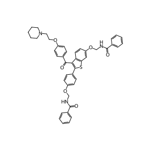 O=C(NCOc1ccc(-c2sc3cc(OCNC(=O)c4ccccc4)ccc3c2C(=O)c2ccc(OCCN3CCCCC3)cc2)cc1)c1ccccc1